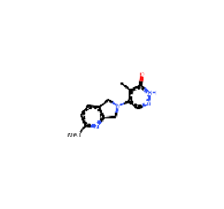 COc1ccc2c(n1)CN(c1cn[nH]c(=O)c1C)C2